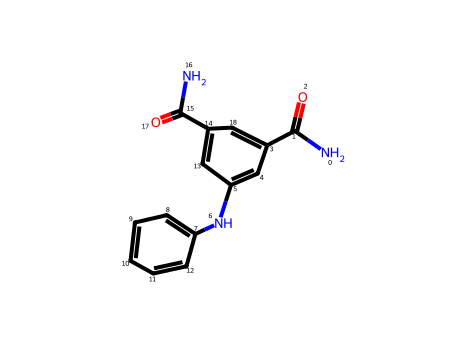 NC(=O)c1cc(Nc2ccccc2)cc(C(N)=O)c1